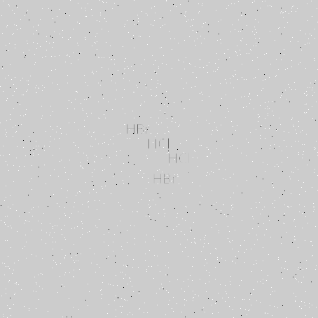 Br.Br.Cl.Cl